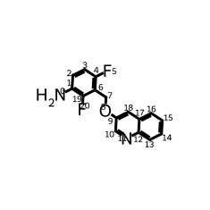 Nc1ccc(F)c(COc2cnc3ccccc3c2)c1F